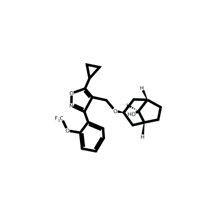 O[C@@H]1[C@@H]2CC[C@H]1C[C@H](OCc1c(-c3ccccc3OC(F)(F)F)noc1C1CC1)C2